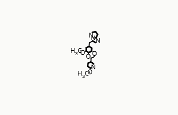 COc1ccc(C2COc3cc(Cc4cnc5cccnn45)cc(OC)c3O2)cn1